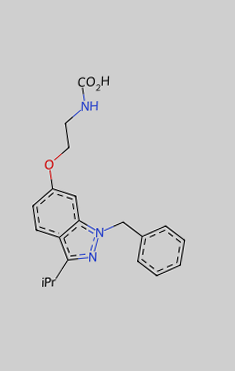 CC(C)c1nn(Cc2ccccc2)c2cc(OCCNC(=O)O)ccc12